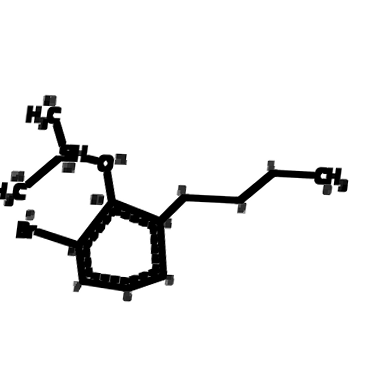 CCCCc1cccc(Br)c1O[SiH](C)C